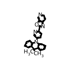 CC1(C)c2ccccc2N(c2ccc(-c3nc4ccncc4o3)nc2)c2ccccc21